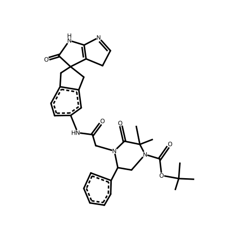 CC(C)(C)OC(=O)N1CC(c2ccccc2)N(CC(=O)Nc2ccc3c(c2)CC2(C3)C(=O)NC3=C2CC=N3)C(=O)C1(C)C